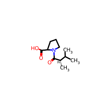 CC(C)[C@H](C)C(=O)N1CCCC1C(=O)O